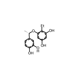 CCc1c(O)cc(O)cc1O[C@@H](C)c1ccc(O)c(O)c1